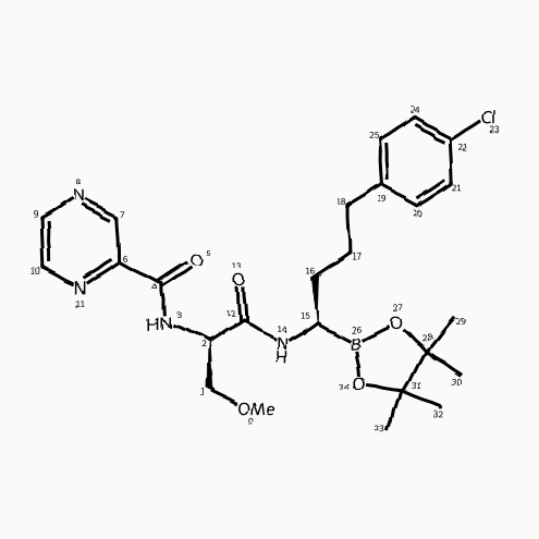 COC[C@@H](NC(=O)c1cnccn1)C(=O)N[C@@H](CCCc1ccc(Cl)cc1)B1OC(C)(C)C(C)(C)O1